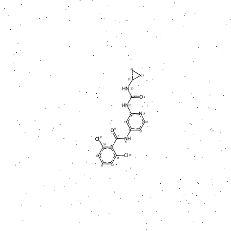 O=C(Nc1cc(NC(=O)c2c(Cl)cccc2Cl)ccn1)NC1CC1